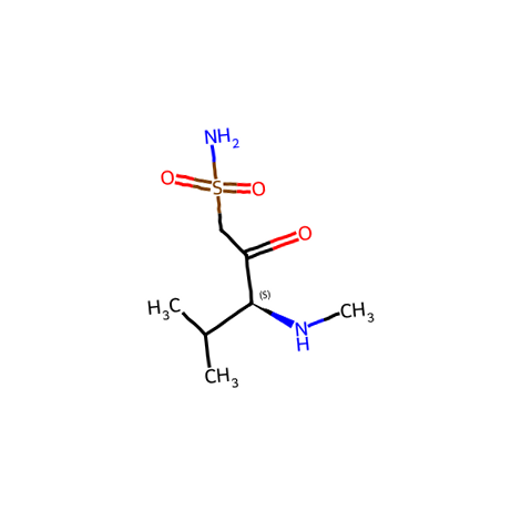 CN[C@H](C(=O)CS(N)(=O)=O)C(C)C